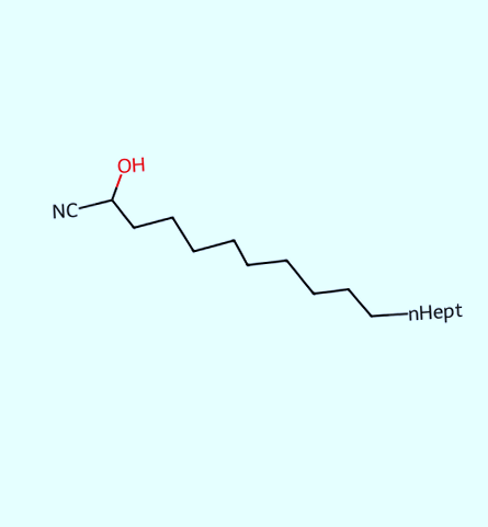 CCCCCCCCCCCCCCCCC(O)C#N